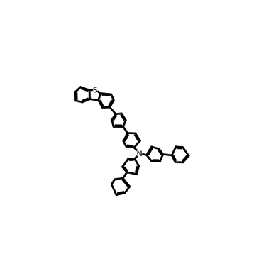 C1=CCCC(c2ccc(N(c3ccc(-c4ccccc4)cc3)c3ccc(-c4ccc(-c5ccc6sc7ccccc7c6c5)cc4)cc3)cc2)=C1